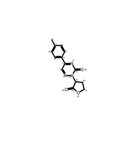 Cc1ccc(-c2cnn(C3CCOC3=O)c(=O)n2)cc1